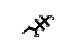 FC(F)(F)C(F)(F)C(F)(F)C(Cl)=CI